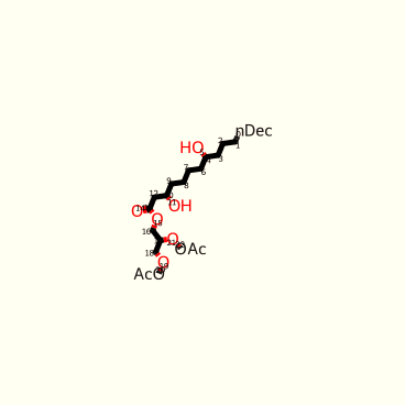 CCCCCCCCCCCCCC(O)CCCCC(O)CC(=O)OCC(COOC(C)=O)OOC(C)=O